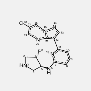 F[C@H]1CNC[C@@H]1Nc1cccc(-c2cnn3cc(Cl)cnc23)n1